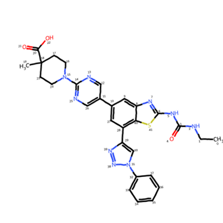 CCNC(=O)Nc1nc2cc(-c3cnc(N4CCC(C)(C(=O)O)CC4)nc3)cc(-c3cn(-c4ccccc4)nn3)c2s1